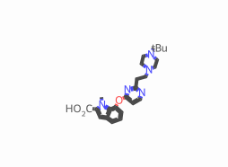 Cn1c(C(=O)O)cc2cccc(Oc3ccnc(CCN4CCN(C(C)(C)C)CC4)n3)c21